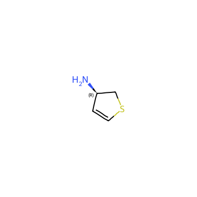 N[C@@H]1C=CSC1